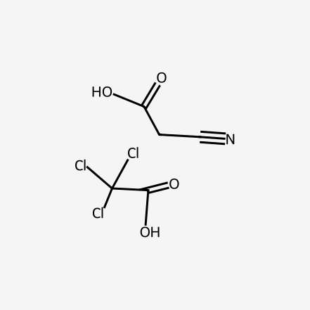 N#CCC(=O)O.O=C(O)C(Cl)(Cl)Cl